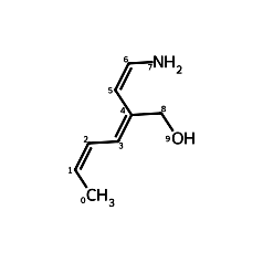 C\C=C/C=C(\C=C/N)CO